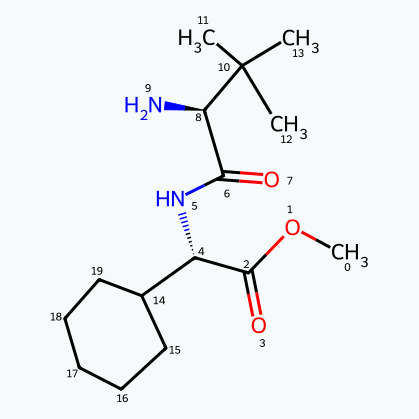 COC(=O)[C@@H](NC(=O)[C@@H](N)C(C)(C)C)C1CCCCC1